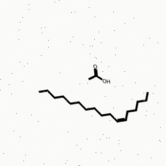 CC(=O)O.CCCCC/C=C\CCCCCCCCCC